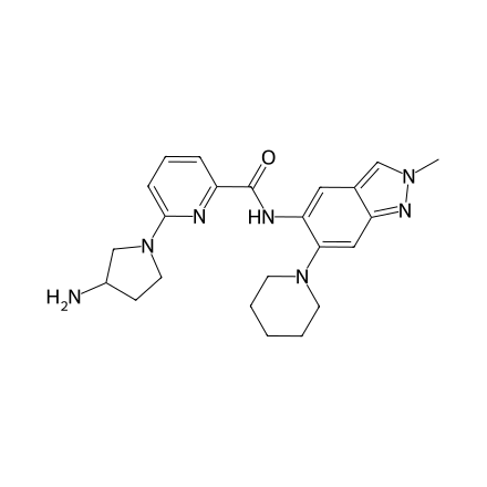 Cn1cc2cc(NC(=O)c3cccc(N4CCC(N)C4)n3)c(N3CCCCC3)cc2n1